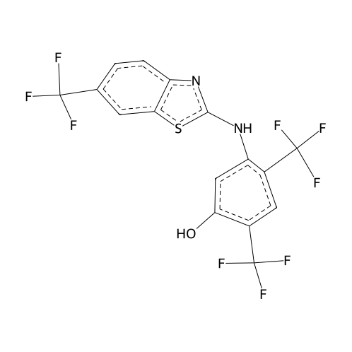 Oc1cc(Nc2nc3ccc(C(F)(F)F)cc3s2)c(C(F)(F)F)cc1C(F)(F)F